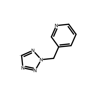 [c]1nnn(Cc2cccnc2)n1